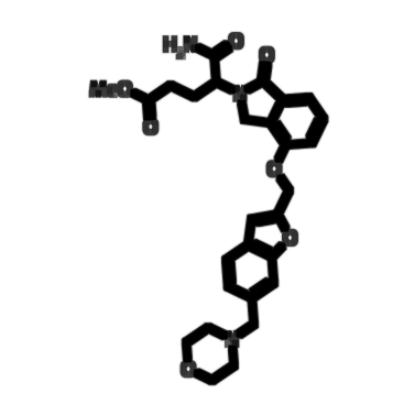 COC(=O)CCC(C(N)=O)N1Cc2c(OCc3cc4ccc(CN5CCOCC5)cc4o3)cccc2C1=O